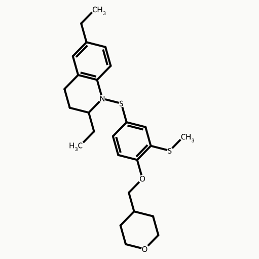 CCc1ccc2c(c1)CCC(CC)N2Sc1ccc(OCC2CCOCC2)c(SC)c1